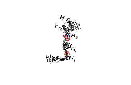 C/C(=C\COC(=O)CCCCCC(CCCCCC(=O)OC/C=C(\C)CCCC(C)CCCC(C)CCCC(C)C)C(C)C)CCCC(C)CCCC(C)CCCC(C)C